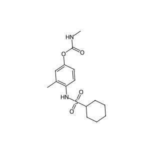 CNC(=O)Oc1ccc(NS(=O)(=O)C2CCCCC2)c(C)c1